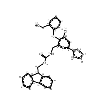 O=C(NCc1cc(-c2nnn[nH]2)cc(Cl)c1Sc1ncccc1CO)OCC1c2ccccc2-c2ccccc21